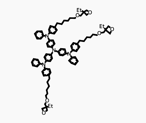 CCC1(COCCCCCCc2ccc(N(c3ccccc3)c3ccc(N(c4ccc(N(c5ccccc5)c5ccc(CCCCCCOCC6(CC)COC6)cc5)cc4)c4ccc(N(c5ccccc5)c5ccc(CCCCCCOCC6(CC)COC6)cc5)cc4)cc3)cc2)COC1